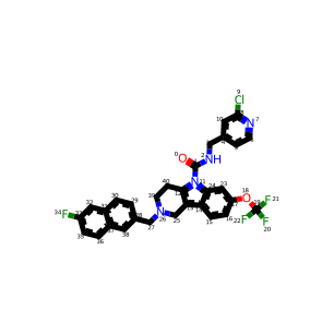 O=C(NCc1ccnc(Cl)c1)n1c2c(c3ccc(OC(F)(F)F)cc31)CN(Cc1ccc3cc(F)ccc3c1)CC2